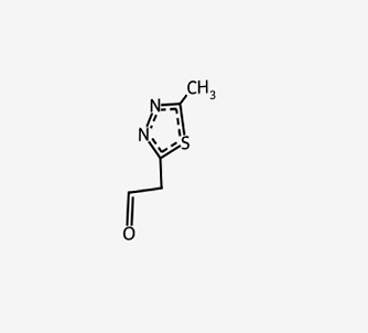 Cc1nnc(CC=O)s1